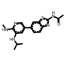 CNc1ncc(-c2ccc3nc(NC(C)=O)sc3c2)cc1NC(C)C